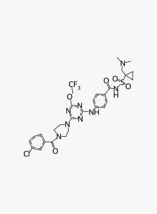 CN(C)CC1(S(=O)(=O)NC(=O)c2ccc(Nc3nc(OCC(F)(F)F)nc(N4CCN(C(=O)c5cccc(Cl)c5)CC4)n3)cc2)CC1